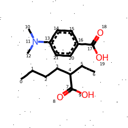 CCCCC(CC)C(=O)O.CN(C)c1ccc(C(=O)O)cc1